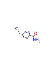 NC(=O)c1ccc(CC2CC2)cn1